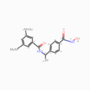 CNc1cc(NC(C)=O)cc(C(=O)NC(c2ccc(C(=O)NO)cc2)C(C)C)c1